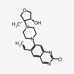 C=Cc1cc2cnc(Cl)nc2cc1N1CCN([C@@]2(C)COC[C@H]2O)CC1